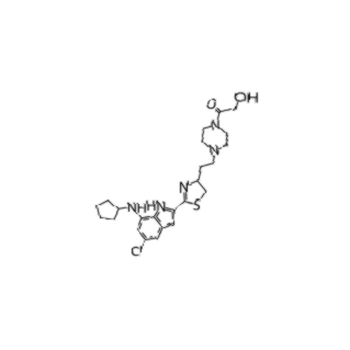 O=C(CO)N1CCN(CCC2CSC(c3cc4cc(Cl)cc(NC5CCCC5)c4[nH]3)=N2)CC1